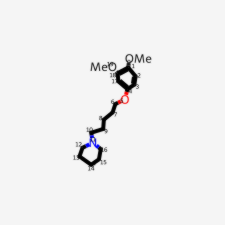 COc1ccc(OCCCCCN2CC[CH]CC2)cc1OC